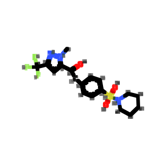 Cn1nc(C(F)(F)F)cc1C(=O)Cc1ccc(S(=O)(=O)N2CCCCC2)cc1